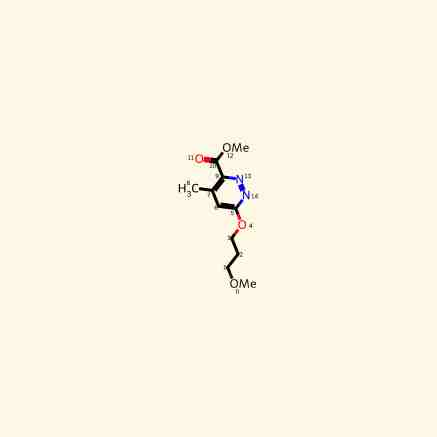 COCCCOc1cc(C)c(C(=O)OC)nn1